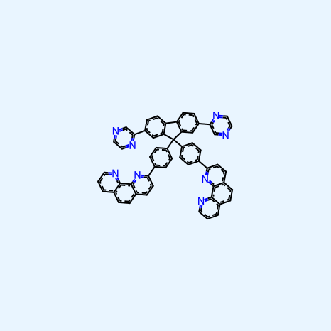 c1cnc2c(c1)ccc1ccc(-c3ccc(C4(c5ccc(-c6ccc7ccc8cccnc8c7n6)cc5)c5cc(-c6cnccn6)ccc5-c5ccc(-c6cnccn6)cc54)cc3)nc12